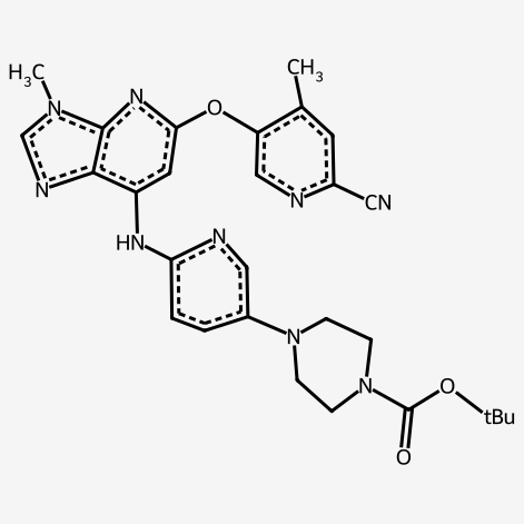 Cc1cc(C#N)ncc1Oc1cc(Nc2ccc(N3CCN(C(=O)OC(C)(C)C)CC3)cn2)c2ncn(C)c2n1